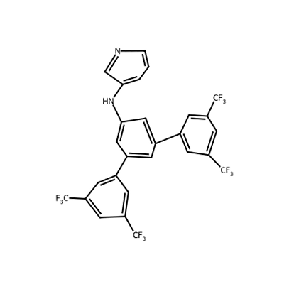 FC(F)(F)c1cc(-c2cc(Nc3cccnc3)cc(-c3cc(C(F)(F)F)cc(C(F)(F)F)c3)c2)cc(C(F)(F)F)c1